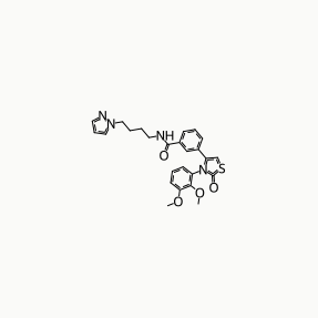 COc1cccc(-n2c(-c3cccc(C(=O)NCCCCn4cccn4)c3)csc2=O)c1OC